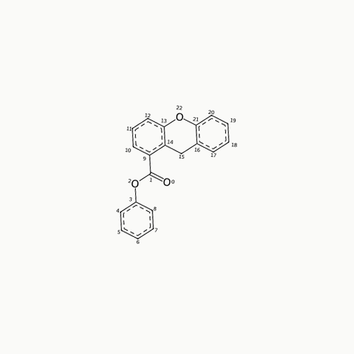 O=C(Oc1ccccc1)c1cccc2c1Cc1ccccc1O2